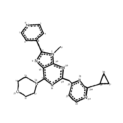 Cn1c(-c2ccncc2)nc2c(N3CCOCC3)nc(-c3ccnc(C4CC4)n3)nc21